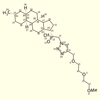 COCCOCCOCc1cn(CC(=O)[C@H]2CCC3[C@@H]4CC[C@@H]5C[C@@H](C)CC[C@@H]5C4CC[C@@]32C)nn1